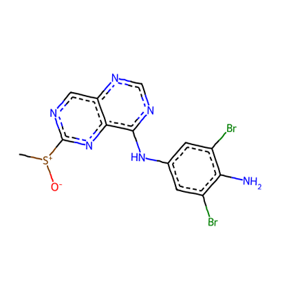 C[S+]([O-])c1ncc2ncnc(Nc3cc(Br)c(N)c(Br)c3)c2n1